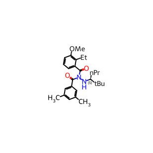 CCC[C@H](NN(C(=O)c1cc(C)cc(C)c1)C(=O)c1cccc(OC)c1CC)C(C)(C)C